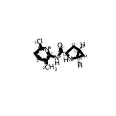 Cc1ccc(Cl)nc1NC(=O)[C@@H]1C[C@H]2C[C@H]2N1